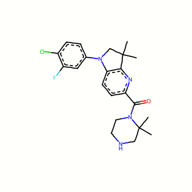 CC1(C)CN(c2ccc(Cl)c(F)c2)c2ccc(C(=O)N3CCNCC3(C)C)nc21